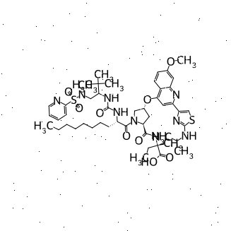 CCCCCCCC[C@H](NC(=O)NC(CN(C)S(=O)(=O)c1ccccn1)C(C)(C)C)C(=O)N1C[C@H](Oc2cc(-c3csc(NC(C)C)n3)nc3cc(OC)ccc23)C[C@H]1C(=O)N[C@@](C)(CC)C(=O)O